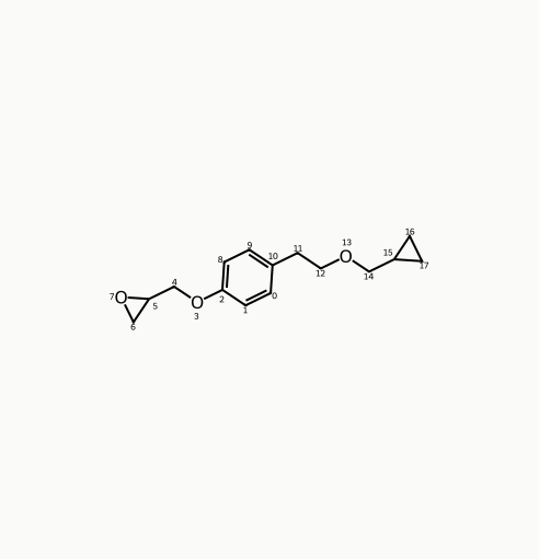 c1cc(OCC2CO2)ccc1CCOCC1CC1